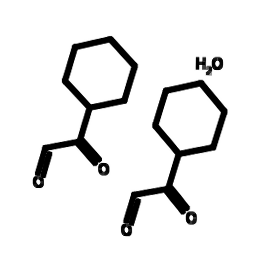 O.O=CC(=O)C1CCCCC1.O=CC(=O)C1CCCCC1